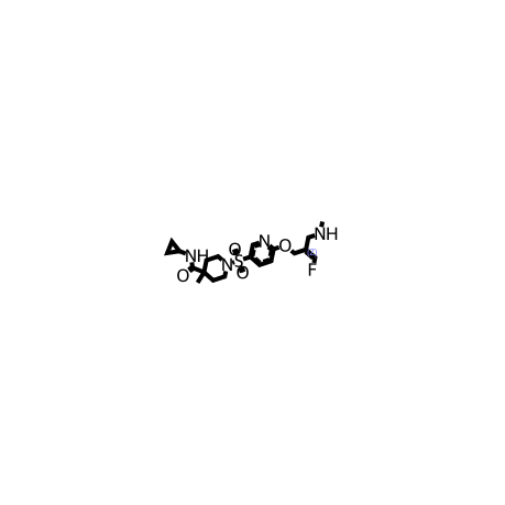 CNC/C(=C/F)COc1ccc(S(=O)(=O)N2CCC(C)(C(=O)NC3CC3)CC2)cn1